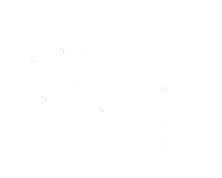 Cc1nc(C(C)(C)C)c(Cl)cc1-c1cc(=O)c2c(-c3nccn3C)nccc2[nH]1